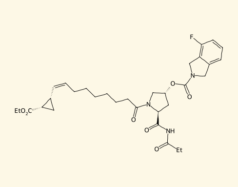 CCOC(=O)[C@H]1C[C@H]1/C=C\CCCCCCC(=O)N1C[C@H](OC(=O)N2Cc3cccc(F)c3C2)C[C@H]1C(=O)NC(=O)CC